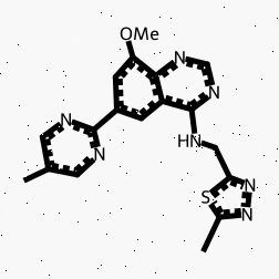 COc1cc(-c2ncc(C)cn2)cc2c(NCc3nnc(C)s3)ncnc12